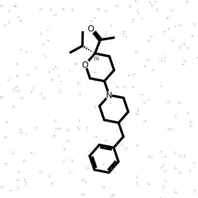 CC(=O)[C@@]1(C(C)C)CCC(N2CCC(Cc3ccccc3)CC2)CO1